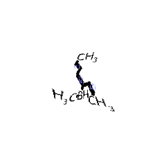 CBC(/C=C\C)=C/C=C/C